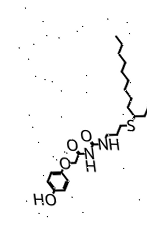 CCCCCCCCCC(CC)SCCCNC(=O)NC(=O)COc1ccc(O)cc1